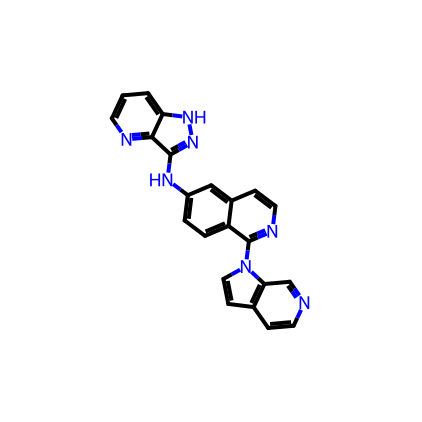 c1cnc2c(Nc3ccc4c(-n5ccc6ccncc65)nccc4c3)n[nH]c2c1